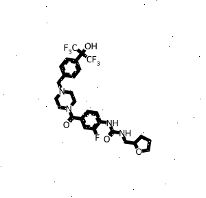 O=C(NCC1CCCO1)Nc1ccc(C(=O)N2CCN(Cc3ccc(C(O)(C(F)(F)F)C(F)(F)F)cc3)CC2)cc1F